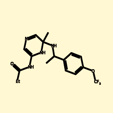 CCC(=O)NC1=CN=CC(C)(NC(C)c2ccc(OC(F)(F)F)cc2)N1